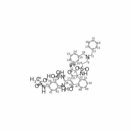 CC(C)CCC1(NS(=O)(=O)CCN(Cc2ccccc2)Cc2ccccc2)C(=O)C(C2=NS(O)(O)c3cc(NS(C)(=O)=O)ccc3N2)=C(O)c2ccccc21